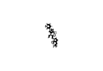 CCN(C(=O)CN1CCC(CC(F)(F)F)C1=O)c1cn(-c2cccnc2)nc1Cl